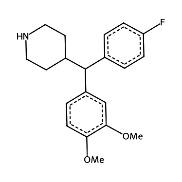 COc1ccc(C(c2ccc(F)cc2)C2CCNCC2)cc1OC